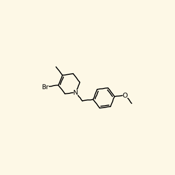 COc1ccc(CN2CCC(C)=C(Br)C2)cc1